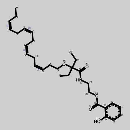 CC/C=C\C/C=C\C/C=C\C/C=C\CCSC(CC)(CC)C(=O)NCCOC(=O)c1ccccc1O